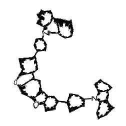 c1ccc2c(c1)c1ccccc1n2-c1ccc(-c2ccc3oc4cc5oc6ccc(-c7ccc(-n8c9ccccc9c9ccccc98)cc7)cc6c5cc4c3c2)cc1